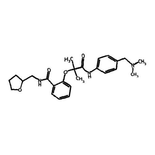 CN(C)Cc1ccc(NC(=O)C(C)(C)Oc2ccccc2C(=O)NCC2CCCO2)cc1